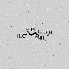 CPCC[C@@H](N)C(=O)O.N